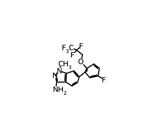 Cn1nc(N)c2ccc(-c3cc(F)ccc3OCC(F)(F)C(F)(F)F)cc21